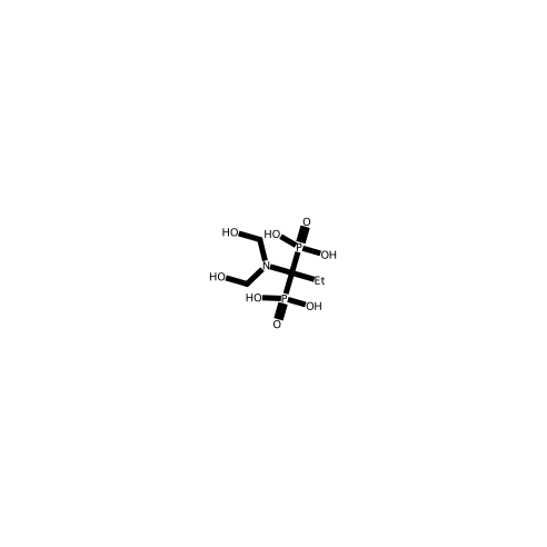 CCC(N(CO)CO)(P(=O)(O)O)P(=O)(O)O